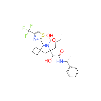 CCCCC(CC1(Cc2nc(C(F)(F)F)cs2)CCC1)(NC(=O)O)C(O)C(=O)N[C@H](C)c1ccccc1